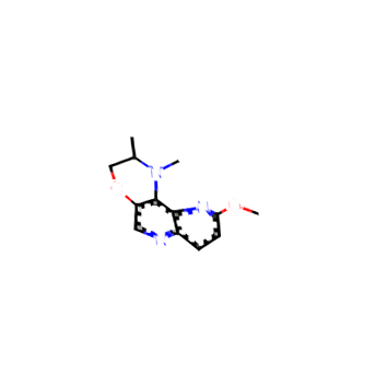 COc1ccc2ncc3c(c2n1)N(C)C(C)CO3